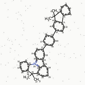 CC1(C)c2ccccc2-c2ccc(-c3ccc(-c4ccc5c(c4)c4cccc6c4n5-c4ccccc4C6(C)C)cc3)cc21